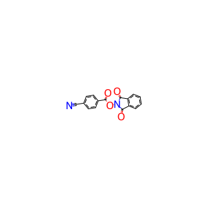 N#Cc1ccc(C(=O)ON2C(=O)c3ccccc3C2=O)cc1